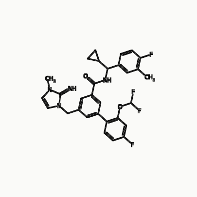 Cc1cc(C(NC(=O)c2cc(Cn3ccn(C)c3=N)cc(-c3ccc(F)cc3OC(F)F)c2)C2CC2)ccc1F